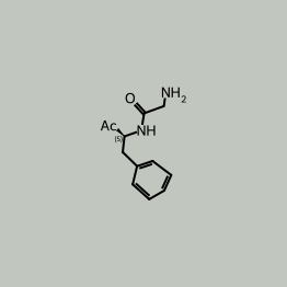 CC(=O)[C@H](Cc1ccccc1)NC(=O)CN